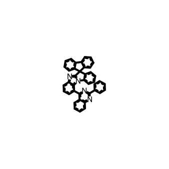 c1ccc(-c2nc(-c3cccc4nc5n(c34)-c3ccccc3C53c4ccccc4-c4ccccc43)c3ccccc3n2)cc1